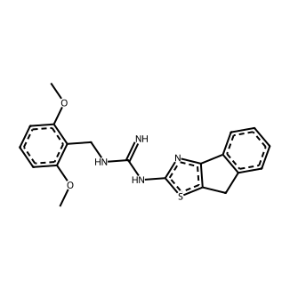 COc1cccc(OC)c1CNC(=N)Nc1nc2c(s1)Cc1ccccc1-2